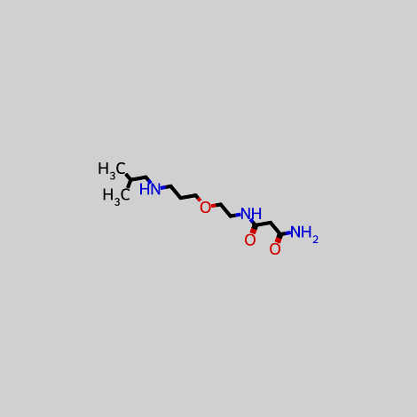 CC(C)CNCCCOCCNC(=O)CC(N)=O